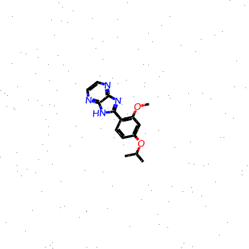 COc1cc(OC(C)C)ccc1-c1nc2nccnc2[nH]1